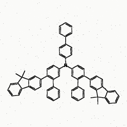 CC1(C)c2ccccc2-c2ccc(-c3ccc(N(c4ccc(-c5ccccc5)cc4)c4ccc(-c5ccc6c(c5)C(C)(C)c5ccccc5-6)c(-c5ccccc5)c4)cc3-c3ccccc3)cc21